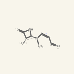 C[C@@H]1C(=O)N[C@H]1N(C)/C=C\C=N